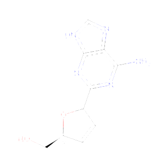 Nc1nc(C2C=C[C@@H](CO)O2)nc2[nH]cnc12